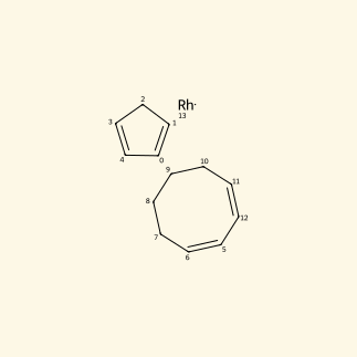 C1=CCC=C1.C1=CCCCCC=C1.[Rh]